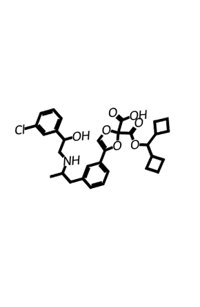 CC(Cc1cccc(C2=COC(C(=O)O)(C(=O)OC(C3CCC3)C3CCC3)O2)c1)NCC(O)c1cccc(Cl)c1